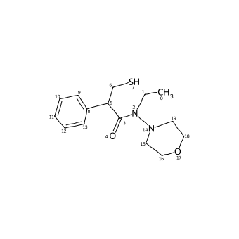 CCN(C(=O)C(CS)c1ccccc1)N1CCOCC1